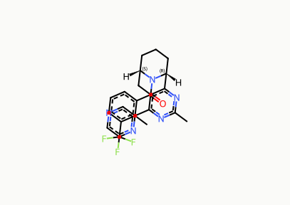 Cc1nc(-c2cnccn2)c2c(n1)[C@H]1CCC[C@@H](C2)N1C(=O)c1cccc(C(F)(F)F)c1C